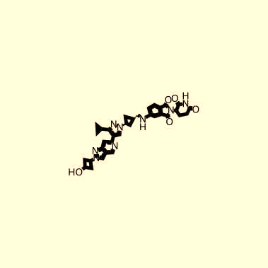 O=C1CCC(N2C(=O)c3ccc(NC[C@H]4C[C@H](n5cc(-c6cc7nn(C8CC(O)C8)cc7cn6)c(C6CC6)n5)C4)cc3C2=O)C(=O)N1